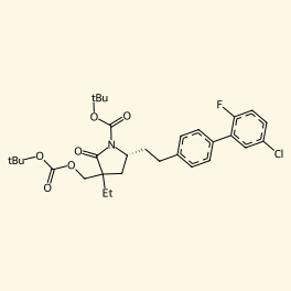 CCC1(COC(=O)OC(C)(C)C)C[C@@H](CCc2ccc(-c3cc(Cl)ccc3F)cc2)N(C(=O)OC(C)(C)C)C1=O